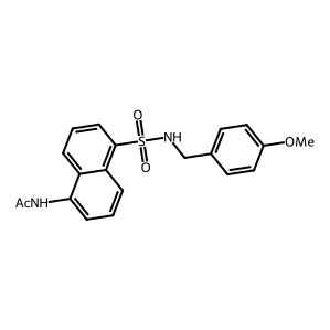 COc1ccc(CNS(=O)(=O)c2cccc3c(NC(C)=O)cccc23)cc1